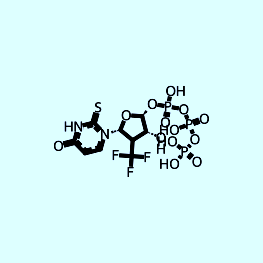 O=c1ccn([C@@H]2O[C@H](OP(=O)(O)OP(=O)(O)OP(=O)(O)O)[C@H](O)C2C(F)(F)F)c(=S)[nH]1